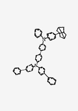 c1ccc(-c2ccc(N(c3ccc(-c4ccccc4)cc3)c3ccc(-c4ccc(N(c5ccccc5)c5ccc(C67CC8CC6CC8C7)cc5)cc4)cc3)cc2)cc1